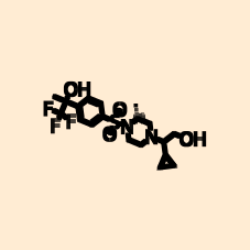 C[C@@H]1CN(C(CO)C2CC2)CCN1S(=O)(=O)c1ccc(C(C)(O)C(F)(F)F)cc1